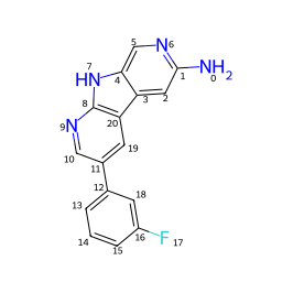 Nc1cc2c(cn1)[nH]c1ncc(-c3cccc(F)c3)cc12